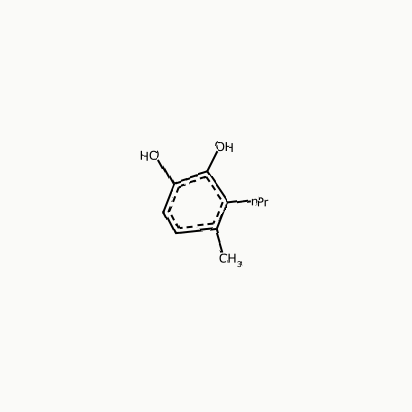 CCCc1c(C)ccc(O)c1O